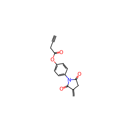 C#CCC(=O)Oc1ccc(N2C(=O)CC(=C)C2=O)cc1